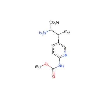 CC(C)(C)OC(=O)Nc1ccc(C(C(N)C(=O)O)C(C)(C)C)cn1